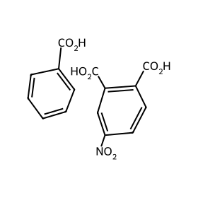 O=C(O)c1ccc([N+](=O)[O-])cc1C(=O)O.O=C(O)c1ccccc1